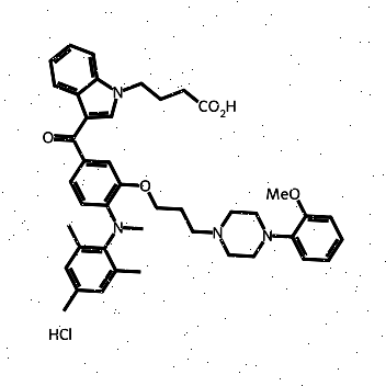 COc1ccccc1N1CCN(CCCOc2cc(C(=O)c3cn(CCCC(=O)O)c4ccccc34)ccc2N(C)c2c(C)cc(C)cc2C)CC1.Cl